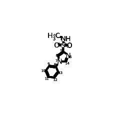 CNS(=O)(=O)c1cn(-c2ccccc2)cn1